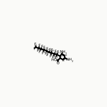 CC(F)C(F)(F)C(F)(F)C(F)(F)C(F)(F)C(F)(F)C(F)(F)C(F)(F)C(F)(F)C1C(N)=CC(N)=CC1C(=O)O